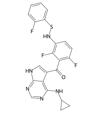 O=C(c1c(F)ccc(NSc2ccccc2F)c1F)c1c[nH]c2ncnc(NC3CC3)c12